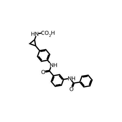 O=C(O)NC1CC1c1ccc(NC(=O)c2cccc(NC(=O)c3ccccc3)c2)cc1